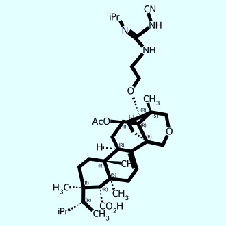 CC(=O)O[C@@H]1C[C@@]23COC[C@](C)([C@@H]2CC[C@H]2C3=CC[C@@]3(C)[C@H](C(=O)O)[C@@](C)([C@H](C)C(C)C)CC[C@]23C)[C@H]1OCCNC(=NC(C)C)NC#N